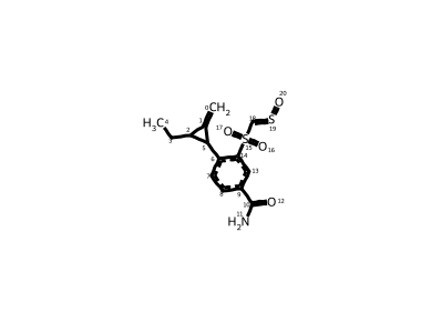 C=C1C(CC)C1c1ccc(C(N)=O)cc1S(=O)(=O)C=S=O